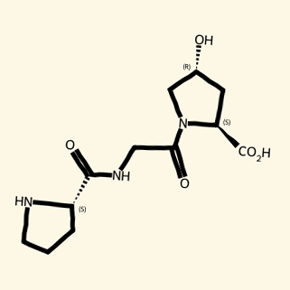 O=C(NCC(=O)N1C[C@H](O)C[C@H]1C(=O)O)[C@@H]1CCCN1